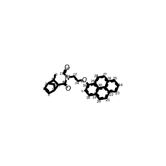 CC1C2C=CC(C2)C1C(=O)N(C=O)CCOc1ccc2ccc3cccc4ccc1c2c34